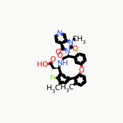 Cc1cc2cc(c1F)[C@@H](CC(=O)O)NC(=O)[C@@H](n1c(=O)c3ccncc3n(C)c1=O)c1cc(ccc1F)Oc1cccc(C)c1-2